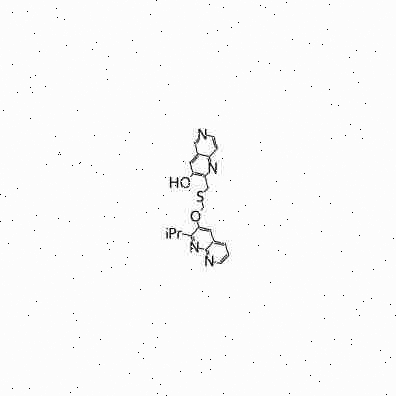 CC(C)c1nc2ncccc2cc1OCSCc1nc2ccncc2cc1O